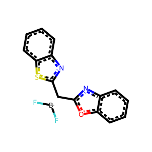 F[B]F.c1ccc2oc(Cc3nc4ccccc4s3)nc2c1